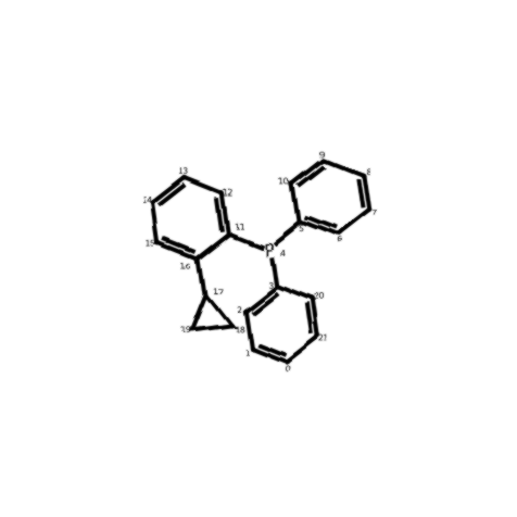 c1ccc(P(c2ccccc2)c2ccccc2C2CC2)cc1